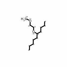 CCCCCC(CCCC)OCCO[SiH3]